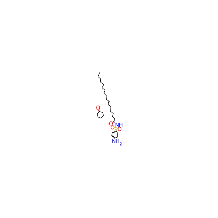 CCCCCCCCCCCCCCCCCC(=O)NS(=O)(=O)c1ccc(N)cc1.O=C1CCCCC1